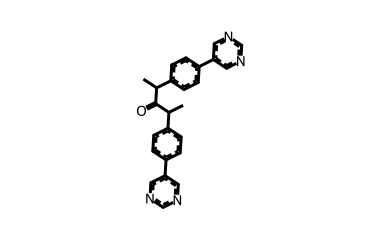 CC(C(=O)C(C)c1ccc(-c2cncnc2)cc1)c1ccc(-c2cncnc2)cc1